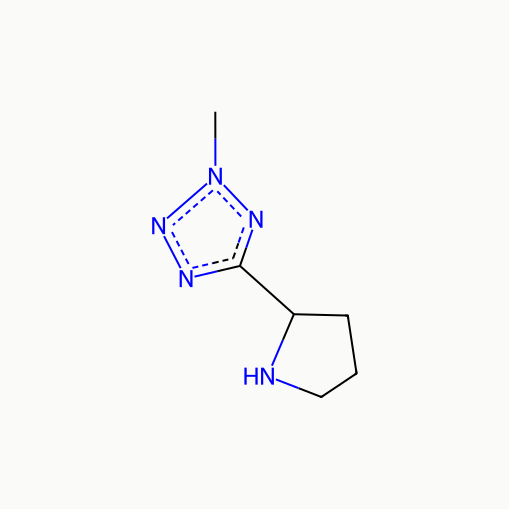 Cn1nnc(C2CCCN2)n1